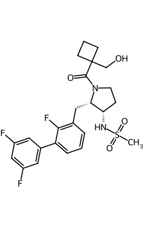 CS(=O)(=O)N[C@H]1CCN(C(=O)C2(CO)CCC2)[C@H]1Cc1cccc(-c2cc(F)cc(F)c2)c1F